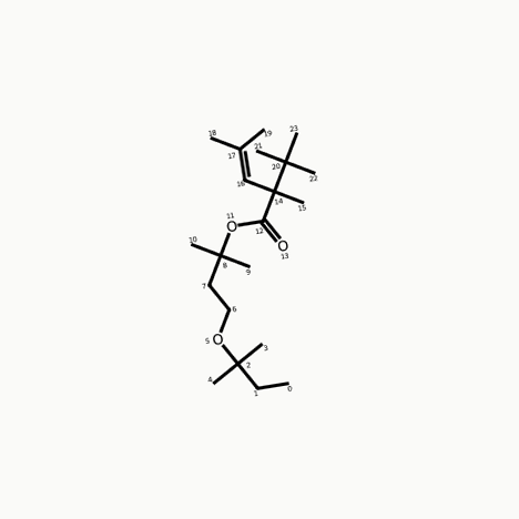 CCC(C)(C)OCCC(C)(C)OC(=O)C(C)(C=C(C)C)C(C)(C)C